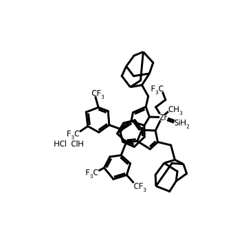 Cl.Cl.[CH3][Zr](=[SiH2])([CH2]CC(F)(F)F)([CH]1C(CC2C3CC4CC(C3)CC2C4)=Cc2c(-c3cc(C(F)(F)F)cc(C(F)(F)F)c3)cccc21)[CH]1C(CC2C3CC4CC(C3)CC2C4)=Cc2c(-c3cc(C(F)(F)F)cc(C(F)(F)F)c3)cccc21